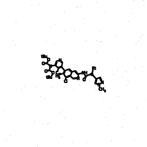 CCC1C(C(=O)Nc2cc3cc(-c4cncc(N(C(=O)OC(C)(C)C)C(=O)OC(C)(C)C)c4C)c(F)c(Cl)c3cn2)C1c1cnn(C)c1